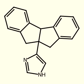 c1ccc2c(c1)CC1(c3c[nH]cn3)Cc3ccccc3C21